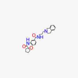 O=C(NCCCN1CCc2ccccc2C1)c1ccc2c(c1)NC(=O)C1(CCCC1)O2